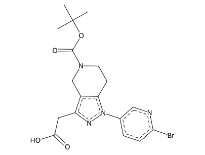 CC(C)(C)OC(=O)N1CCc2c(c(CC(=O)O)nn2-c2ccc(Br)nc2)C1